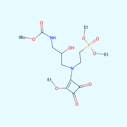 CCOc1c(N(CCP(=O)(OCC)OCC)CC(O)CNC(=O)OC(C)(C)C)c(=O)c1=O